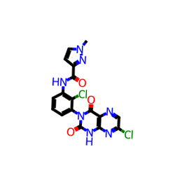 Cn1ccc(C(=O)Nc2cccc(-n3c(=O)[nH]c4nc(Cl)cnc4c3=O)c2Cl)n1